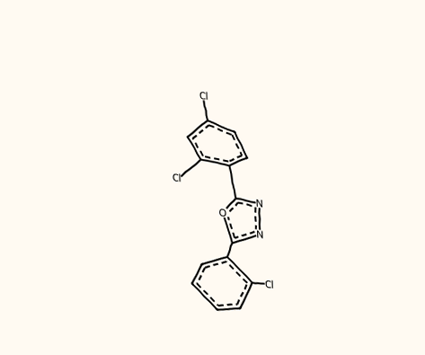 Clc1ccc(-c2nnc(-c3ccccc3Cl)o2)c(Cl)c1